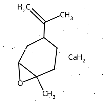 C=C(C)C1CCC2(C)OC2C1.[CaH2]